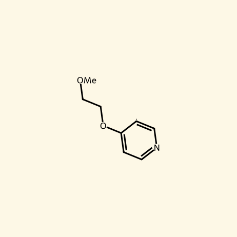 COCCOc1[c]cncc1